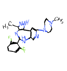 Cc1n[nH]c2c1N=C(c1c(F)cccc1F)Nc1cnc(N3CCN(C)CC3)cc1-2